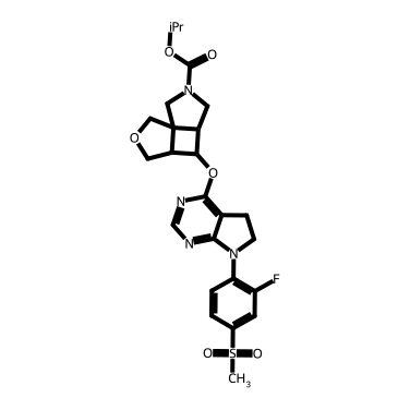 CC(C)OC(=O)N1CC2C(Oc3ncnc4c3CCN4c3ccc(S(C)(=O)=O)cc3F)C3COCC32C1